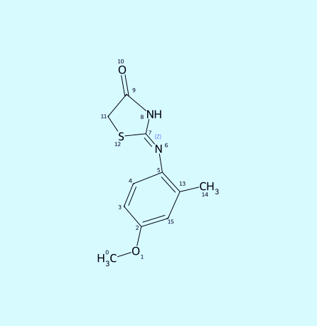 COc1ccc(/N=C2/NC(=O)CS2)c(C)c1